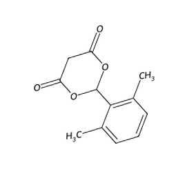 Cc1cccc(C)c1C1OC(=O)CC(=O)O1